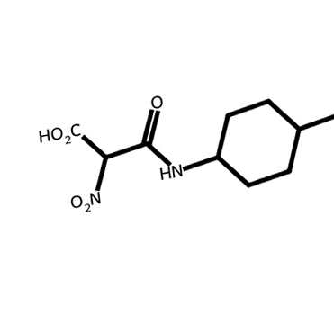 CC1CCC(NC(=O)C(C(=O)O)[N+](=O)[O-])CC1